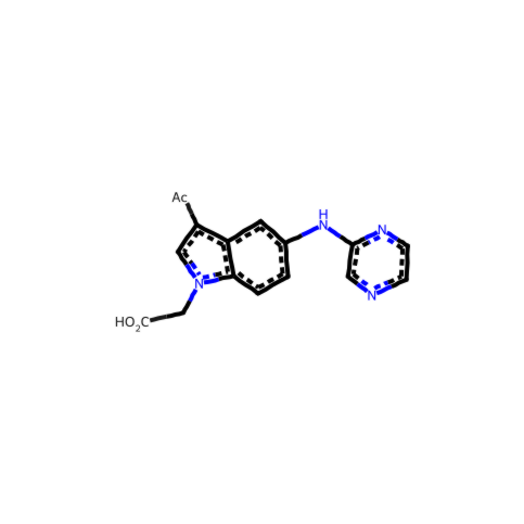 CC(=O)c1cn(CC(=O)O)c2ccc(Nc3cnccn3)cc12